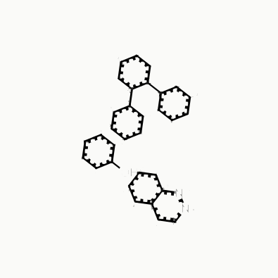 Oc1ccccc1.c1ccc(-c2ccccc2-c2ccccc2)cc1.c1ccc2nnccc2c1